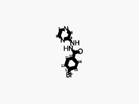 O=C(NNc1cnccn1)c1ccc(Br)cc1